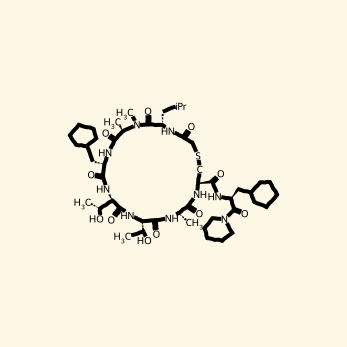 CC(C)C[C@@H]1NC(=O)CSC[C@@H](C(=O)N[C@@H](CC2CCCCC2)C(=O)N2CCCCC2)NC(=O)[C@H](C)NC(=O)[C@H](C(C)O)NC(=O)[C@H]([C@@H](C)O)NC(=O)[C@H](CC2CCCCC2)NC(=O)[C@H](C)N(C)C1=O